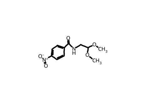 COC(CNC(=O)c1ccc([N+](=O)[O-])cc1)OC